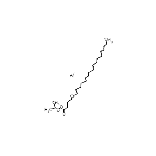 CCCCCCCCC=CCCCCCCCCOCCCC(=O)OOC(C)C.[Al]